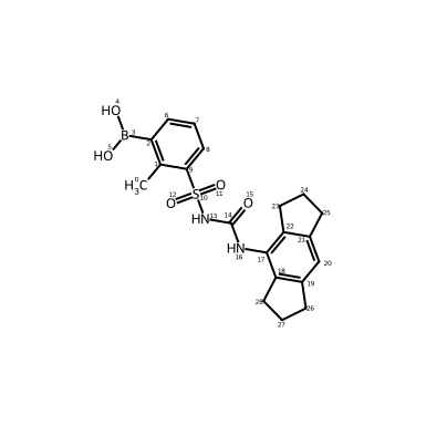 Cc1c(B(O)O)cccc1S(=O)(=O)NC(=O)Nc1c2c(cc3c1CCC3)CCC2